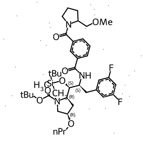 CCCO[C@@H]1C[C@H]([C@@H](O[Si](C)(C)C(C)(C)C)[C@H](Cc2cc(F)cc(F)c2)NC(=O)c2cccc(C(=O)N3CCCC3COC)c2)N(C(=O)OC(C)(C)C)C1